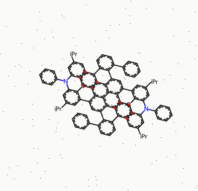 CC(C)c1ccc2c(c1)N(c1ccccc1)c1cc(C(C)C)cc3c1B2c1cc2c(-c4c(-c5ccccc5)cccc4-c4ccccc4)cc4c5c(cc6c(-c7c(-c8ccccc8)cccc7-c7ccccc7)cc-3c1c6c25)B1c2ccc(C(C)C)cc2N(c2ccccc2)c2cc(C(C)C)cc-4c21